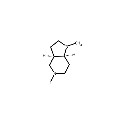 CN1CC[C@@H]2CN(I)CC[C@@H]21